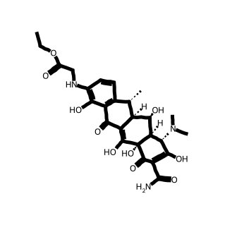 CCOC(=O)CNc1ccc2c(c1O)C(=O)C1=C(O)[C@]3(O)C(=O)C(C(N)=O)=C(O)[C@@H](N(C)C)[C@@H]3[C@@H](O)[C@@H]1[C@H]2C